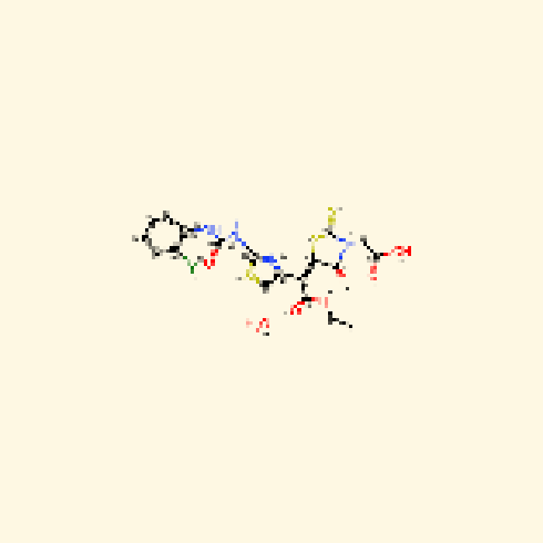 CCOC(=O)C(=C1SC(=S)N(CC(=O)O)C1=O)c1csc(NC(=O)Nc2ccccc2Cl)n1.O